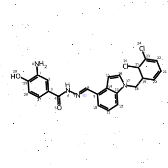 Nc1cc(C(=O)N/N=C/c2cccc3c2ccn3CC2C=CC=C(Cl)C2Cl)ccc1O